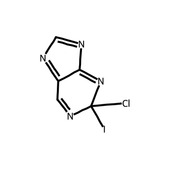 ClC1(I)N=CC2=NC=NC2=N1